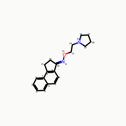 c1ccc2c3c(ccc2c1)/C(=N/OCCN1CCCC1)CC3